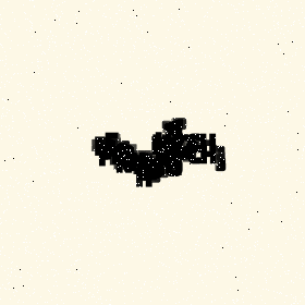 CC(C)(C)C[C@H](NCC1CC1)C(=O)NC1CC[C@@H]2CN(c3ccc(C(F)(F)F)cn3)CC12